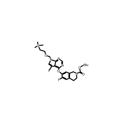 CC(C)(C)OC(=O)N1CCc2cc(F)c(Oc3ncnc4c3c(I)cn4COCCS(C)(C)C)cc2C1